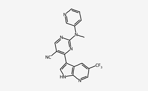 CN(c1cccnc1)c1ncc(C#N)c(-c2c[nH]c3ncc(C(F)(F)F)cc23)n1